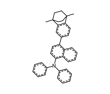 CC12CCC(C)(CC1)c1cc(-c3ccc(N(c4ccccc4)c4ccccc4)c4ccccc34)ccc12